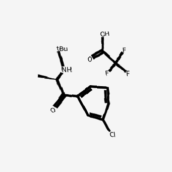 C[C@@H](NC(C)(C)C)C(=O)c1cccc(Cl)c1.O=C(O)C(F)(F)F